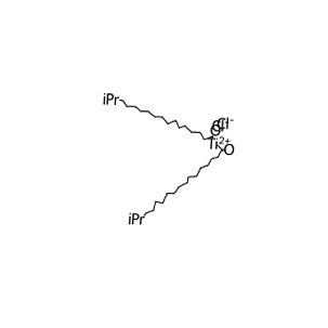 CC(C)CCCCCCCCCCCCCC[C](=O)[Ti+2][C](=O)CCCCCCCCCCCCCCC(C)C.[Cl-].[Cl-]